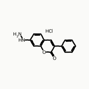 Cl.NNc1ccc2cc(-c3ccccc3)c(=O)oc2c1